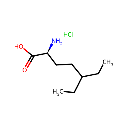 CCC(CC)CC[C@H](N)C(=O)O.Cl